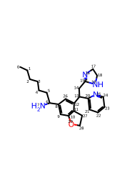 CCCCCCC(N)c1cc2c(c(C(CC3=NCCN3)c3ccccn3)c1)CCO2